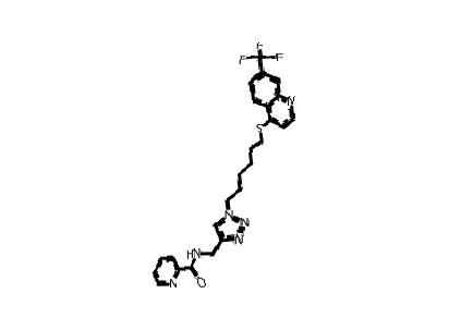 O=C(NCc1cn(CCCCCCSc2ccnc3cc(C(F)(F)F)ccc23)nn1)c1ccccn1